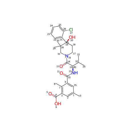 Cc1cc(C(=O)O)c(C)c(C(=O)N[C@@H](C(=O)N2CC[C@@](O)(c3ccccc3Cl)C(C)(C)C2)C(C)C)c1